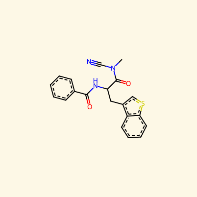 CN(C#N)C(=O)C(Cc1csc2ccccc12)NC(=O)c1ccccc1